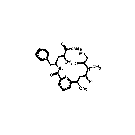 CC[C@H](C)CC(=O)N(C)C(C[C@@H](OC(C)=O)c1cccc(C(=O)N[C@@H](Cc2ccccc2)C[C@H](C)C(=O)OC)n1)C(C)C